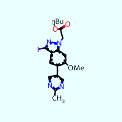 CCCCOC(=O)Cn1nc(I)c2cc(-c3cnc(C)nc3)c(OC)cc21